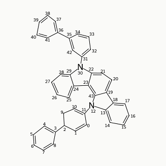 C1=CC(c2ccccc2)CC=C1n1c2ccccc2c2ccc3c(c4ccccc4n3-c3cccc(-c4ccccc4)c3)c21